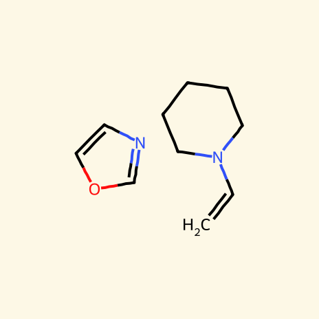 C=CN1CCCCC1.c1cocn1